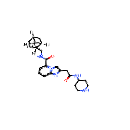 CC1(C)[C@@H]2CC[C@@H](CNC(=O)c3cccc4nc(CC(=O)NC5CCNCC5)cn34)[C@@H]1C2